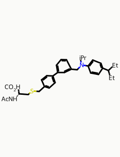 CCC(CC)c1ccc(N(Cc2cccc(-c3ccc(CSC[C@H](NC(C)=O)C(=O)O)cc3)c2)C(C)C)cc1